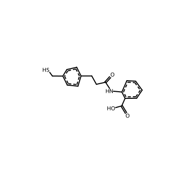 O=C(CCc1ccc(CS)cc1)Nc1ccccc1C(=O)O